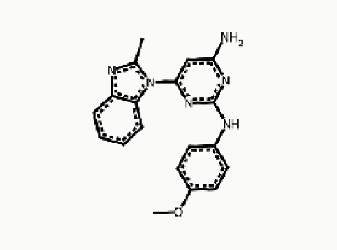 COc1ccc(Nc2nc(N)cc(-n3c(C)nc4ccccc43)n2)cc1